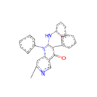 Cc1cc2c(cn1)c(=O)c(-c1ccccc1)c(Nc1ccccc1)n2-c1ccccc1